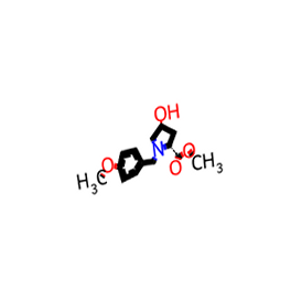 COC(=O)[C@H]1C[C@@H](O)CN1Cc1ccc(OC)cc1